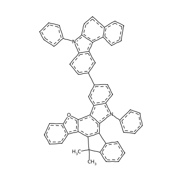 CC1(C)c2ccccc2-c2c1c1c3ccccc3oc1c1c3cc(-c4ccc5c(c4)c4c6ccccc6ccc4n5-c4ccccc4)ccc3n(-c3ccccc3)c21